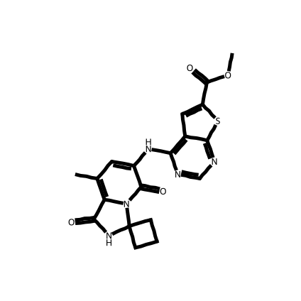 COC(=O)c1cc2c(Nc3cc(C)c4n(c3=O)C3(CCC3)NC4=O)ncnc2s1